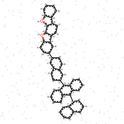 c1ccc2c(-c3c4ccccc4c(-c4ccc5cc(-c6ccc7oc8c(ccc9c%10ccccc%10oc98)c7c6)ccc5c4)c4ccccc34)cccc2c1